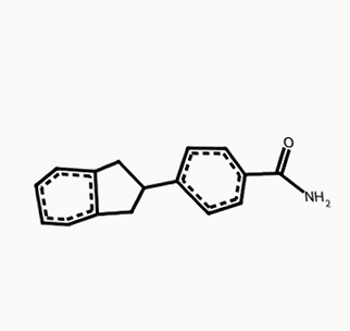 NC(=O)c1ccc(C2Cc3ccccc3C2)cc1